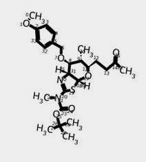 COc1ccc(CO[C@H]2[C@H](C)[C@@H](CCC(C)=O)O[C@@H]3SC(N(C)C(=O)OC(C)(C)C)=N[C@H]23)cc1